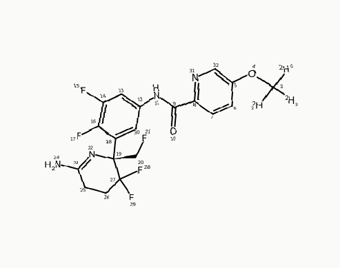 [2H]C([2H])([2H])Oc1ccc(C(=O)Nc2cc(F)c(F)c([C@@]3(CF)N=C(N)CCC3(F)F)c2)nc1